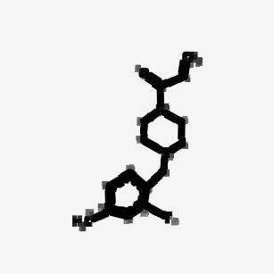 C=CC(=O)N1CCN(Cc2ccc(C)cc2F)CC1